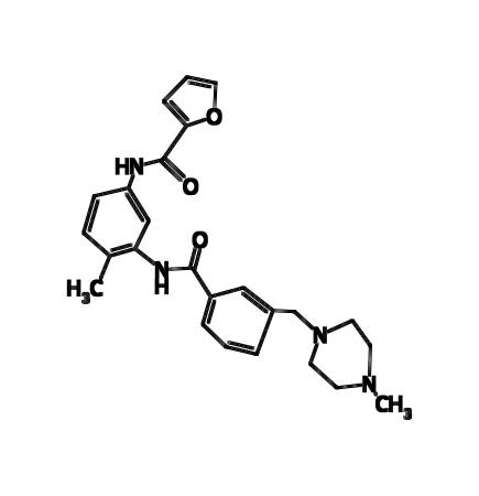 Cc1ccc(NC(=O)c2ccco2)cc1NC(=O)c1cccc(CN2CCN(C)CC2)c1